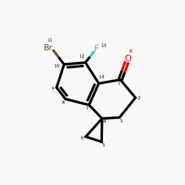 O=C1CCC2(CC2)c2ccc(Br)c(F)c21